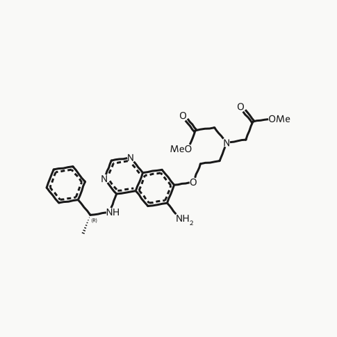 COC(=O)CN(CCOc1cc2ncnc(N[C@H](C)c3ccccc3)c2cc1N)CC(=O)OC